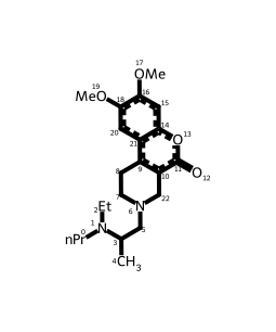 CCCN(CC)C(C)CN1CCc2c(c(=O)oc3cc(OC)c(OC)cc23)C1